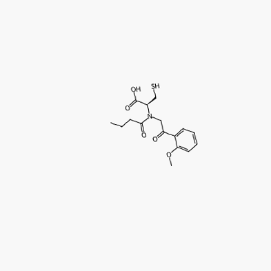 CCCC(=O)N(CC(=O)c1ccccc1OC)[C@H](CS)C(=O)O